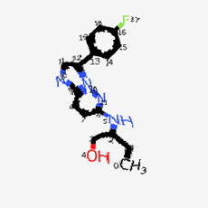 CCC(CO)Nc1ccc2ncc(-c3ccc(F)cc3)n2n1